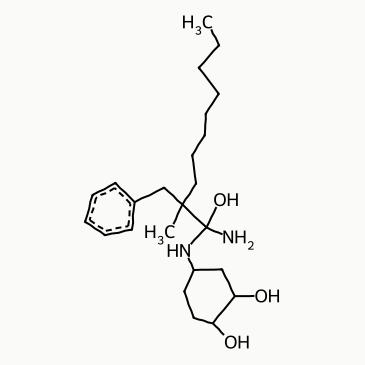 CCCCCCCCC(C)(Cc1ccccc1)C(N)(O)NC1CCC(O)C(O)C1